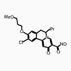 COCCCOc1cc2c(cc1Cl)-c1cc(=O)c(C(=O)N=O)cn1C(C(C)C)C2